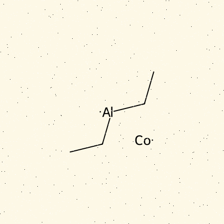 C[CH2][Al][CH2]C.[Co]